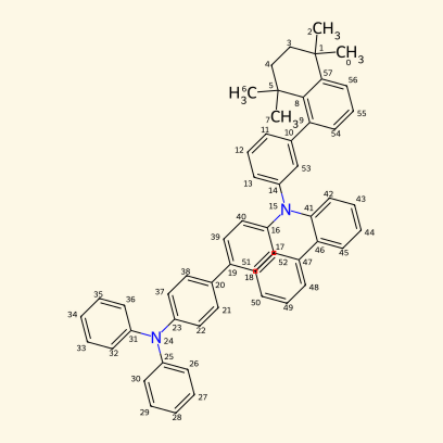 CC1(C)CCC(C)(C)c2c(-c3cccc(N(c4ccc(-c5ccc(N(c6ccccc6)c6ccccc6)cc5)cc4)c4ccccc4-c4ccccc4)c3)cccc21